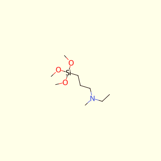 CCN(C)CCC[Si](OC)(OC)OC